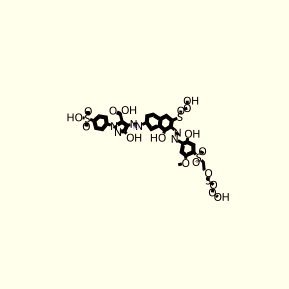 COc1cc(N=Nc2c(SOOO)cc3ccc(/N=N/c4c(O)nn(-c5ccc(S(=O)(=O)O)cc5)c4C(=O)O)cc3c2O)c(O)cc1S(=O)(=O)CCOSOOO